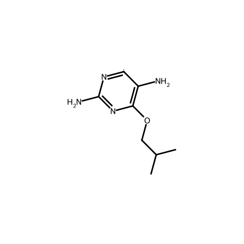 CC(C)COc1nc(N)n[c]c1N